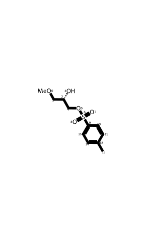 COC[C@H](O)COS(=O)(=O)c1ccc(C)cc1